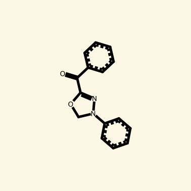 O=C(C1=NN(c2ccccc2)CO1)c1ccccc1